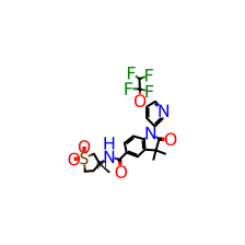 CC1(C)C(=O)N(c2cncc(OC(F)(F)C(F)F)c2)c2ccc(C(=O)N[C@]3(C)CCS(=O)(=O)C3)cc21